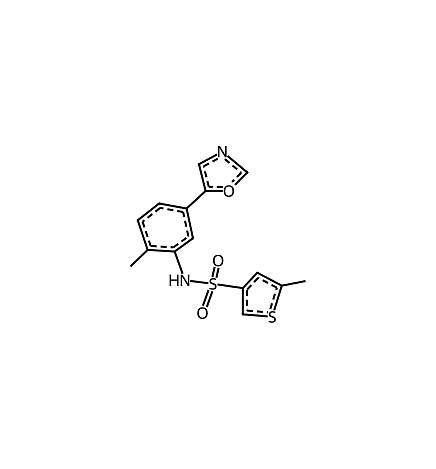 Cc1cc(S(=O)(=O)Nc2cc(-c3cnco3)ccc2C)cs1